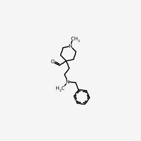 CN1CCC(C=O)(CCN(C)Cc2ccccc2)CC1